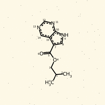 CC(C)COC(=O)c1c[nH]c2ncncc12